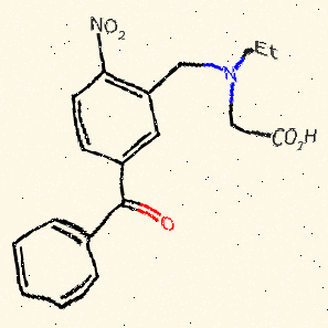 CCN(CC(=O)O)Cc1cc(C(=O)c2ccccc2)ccc1[N+](=O)[O-]